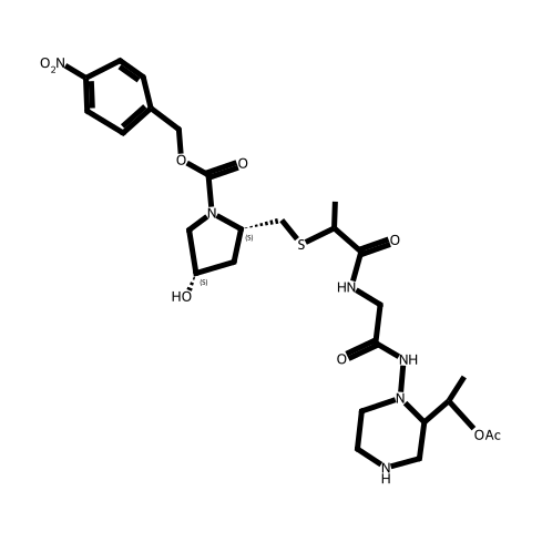 CC(=O)OC(C)C1CNCCN1NC(=O)CNC(=O)C(C)SC[C@@H]1C[C@H](O)CN1C(=O)OCc1ccc([N+](=O)[O-])cc1